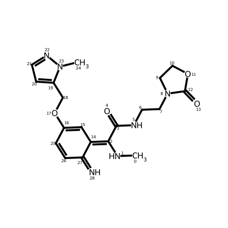 CN/C(C(=O)NCCN1CCOC1=O)=C1/C=C(OCc2ccnn2C)C=CC1=N